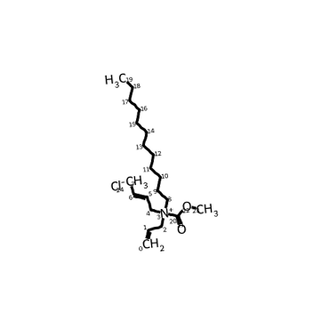 C=CC[N+](CC=CC)(CCCCCCCCCCCC)C(=O)OC.[Cl-]